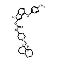 Cc1ccc(Oc2cccc3[nH]c(OC(=O)NC4CCN(C[C@@H]5CCCN6CCCC[C@H]56)CC4)cc23)cc1